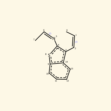 C/C=C\c1c(/N=C\C)sc2ccccc12